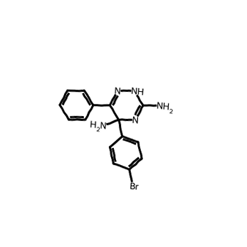 NC1=NC(N)(c2ccc(Br)cc2)C(c2ccccc2)=NN1